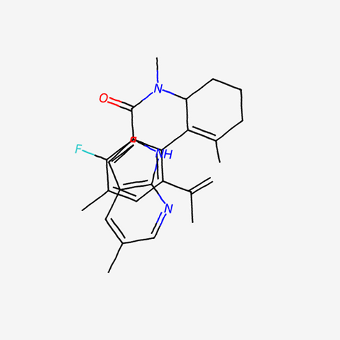 C=C(C)c1cc(C)c(F)cc1C1=C(C)CCCC1N(C)C(=O)c1cc2cc(C)cnc2[nH]1